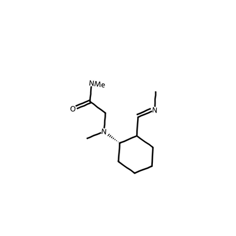 C/N=C/C1CCCC[C@@H]1N(C)CC(=O)NC